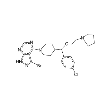 Clc1ccc(C(OCCN2CCCC2)C2CCN(c3ncnc4[nH]nc(Br)c34)CC2)cc1